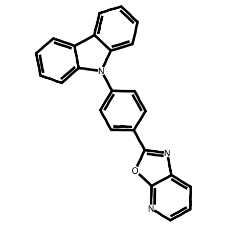 c1cnc2oc(-c3ccc(-n4c5ccccc5c5ccccc54)cc3)nc2c1